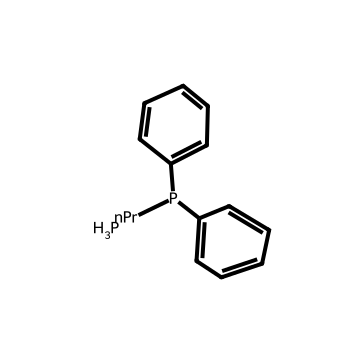 CCCP(c1ccccc1)c1ccccc1.P